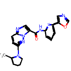 O=C(Nc1cccc(-c2cnco2)n1)c1cnc2ccc(N3CCCC3C(F)(F)F)nn12